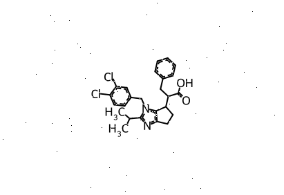 CC(C)c1nc2c(n1Cc1ccc(Cl)c(Cl)c1)C(C(Cc1ccccc1)C(=O)O)CC2